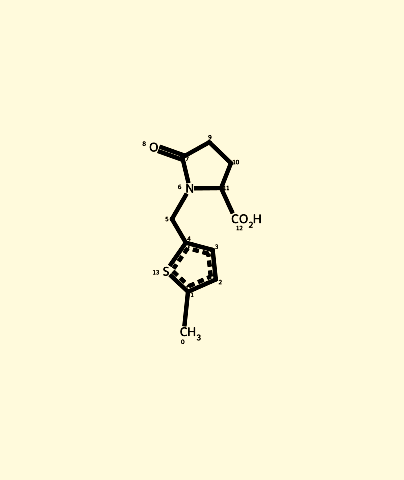 Cc1ccc(CN2C(=O)CCC2C(=O)O)s1